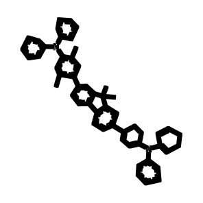 Cc1cc(N(c2ccccc2)c2ccccc2)c(C)cc1-c1ccc2c(c1)C(C)(C)c1cc(C3=CC=C(N(C4=CCCC=C4)c4ccccc4)CC3)ccc1-2